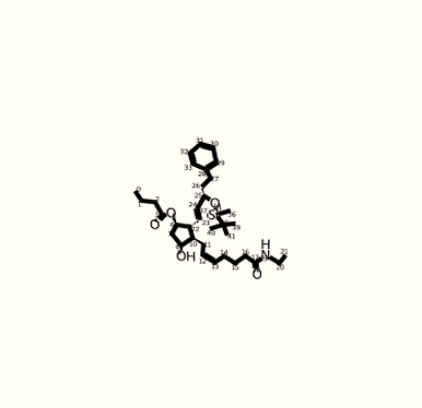 CCCC(=O)O[C@@H]1C[C@H](O)[C@H](C/C=C\CCCC(=O)NCC)[C@H]1/C=C/[C@H](CCc1ccccc1)O[Si](C)(C)C(C)(C)C